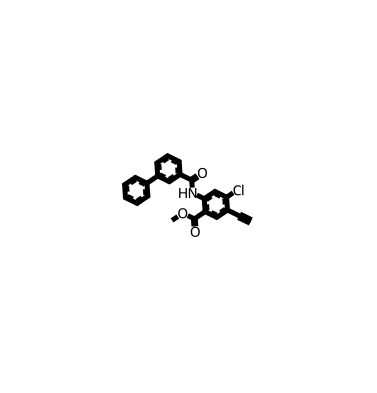 C#Cc1cc(C(=O)OC)c(NC(=O)c2cccc(-c3ccccc3)c2)cc1Cl